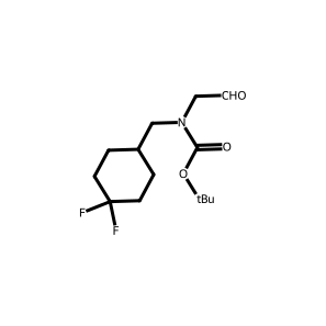 CC(C)(C)OC(=O)N(CC=O)CC1CCC(F)(F)CC1